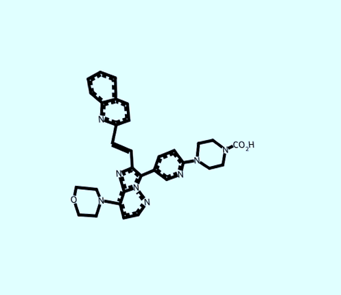 O=C(O)N1CCN(c2ccc(-c3c(/C=C/c4ccc5ccccc5n4)nc4c(N5CCOCC5)ccnn34)cn2)CC1